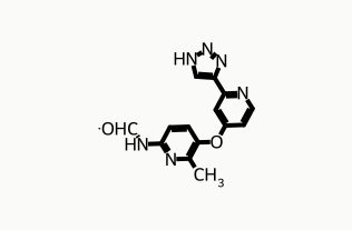 Cc1nc(N[C]=O)ccc1Oc1ccnc(-c2c[nH]nn2)c1